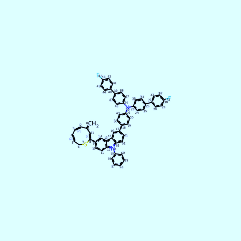 C=C1/C=C\C=C/CS/C(c2ccc3c(c2)c2cc(-c4ccc(N(c5ccc(-c6ccc(F)cc6)cc5)c5ccc(-c6ccc(F)cc6)cc5)cc4)ccc2n3-c2ccccc2)=C\1